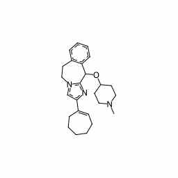 CN1CCC(OC2c3ccccc3CCn3cc(C4=CCCCCC4)nc32)CC1